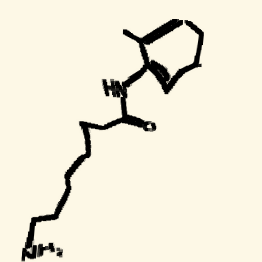 CC1=CC[CH]C=C1NC(=O)CCCCCN